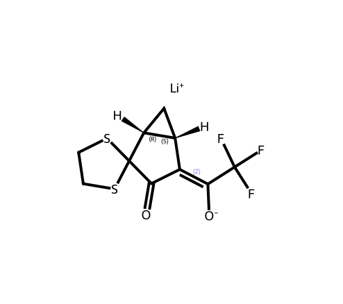 O=C1/C(=C(\[O-])C(F)(F)F)[C@H]2C[C@H]2C12SCCS2.[Li+]